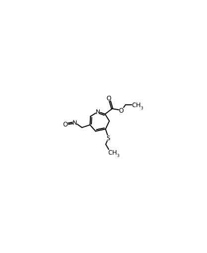 CCOC(=O)C1=NC=C(CN=O)C=C(SCC)C1